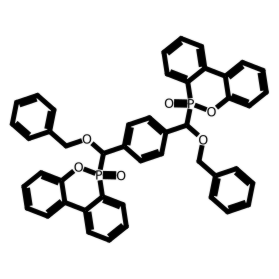 O=P1(C(OCc2ccccc2)c2ccc(C(OCc3ccccc3)P3(=O)Oc4ccccc4-c4ccccc43)cc2)Oc2ccccc2-c2ccccc21